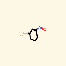 O=NC1CCCC(S)C1